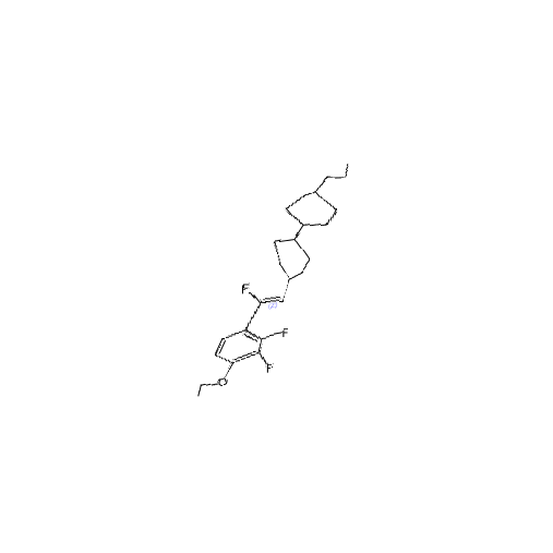 CCCC1CCC(C2CCC(/C=C(\F)c3ccc(OCC)c(F)c3F)CC2)CC1